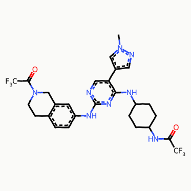 Cn1cc(-c2cnc(Nc3ccc4c(c3)CN(C(=O)C(F)(F)F)CC4)nc2NC2CCC(NC(=O)C(F)(F)F)CC2)cn1